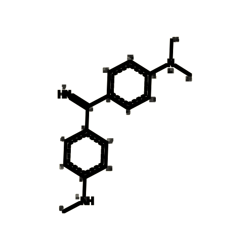 CNc1ccc(C(=N)c2ccc(N(C)C)cc2)cc1